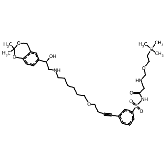 CC1(C)OCc2cc([C@@H](O)CNCCCCCCOCCC#Cc3cccc(S(=O)(=O)NC(=O)CNCOCC[Si](C)(C)C)c3)ccc2O1